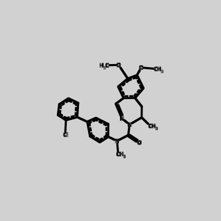 COc1cc2c(cc1OC)CC(C)N(C(=O)N(C)c1ccc(-c3ccccc3Cl)cc1)N=C2